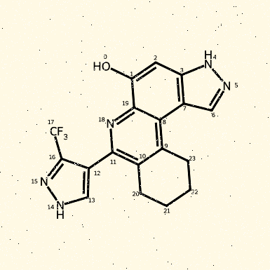 Oc1cc2[nH]ncc2c2c3c(c(-c4c[nH]nc4C(F)(F)F)nc12)CCCC3